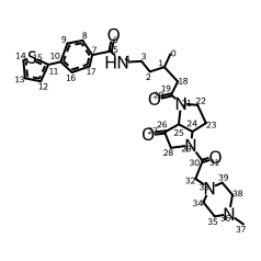 CC(CCNC(=O)c1ccc(-c2cccs2)cc1)CC(=O)N1CCC2C1C(=O)CN2C(=O)CN1CCN(C)CC1